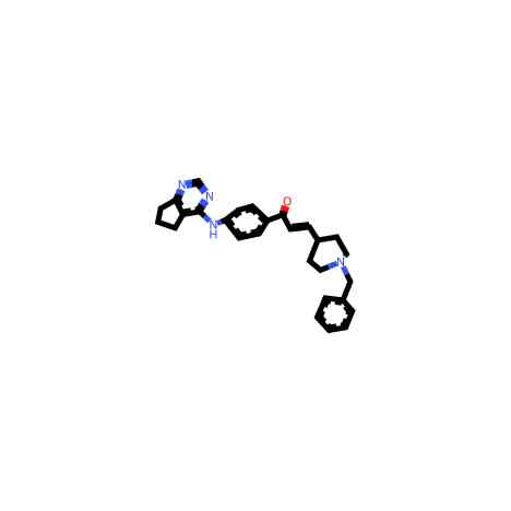 O=C(/C=C/C1CCN(Cc2ccccc2)CC1)c1ccc(Nc2ncnc3c2CCC3)cc1